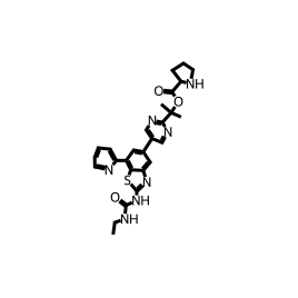 CCNC(=O)Nc1nc2cc(-c3cnc(C(C)(C)OC(=O)C4CCCN4)nc3)cc(-c3ccccn3)c2s1